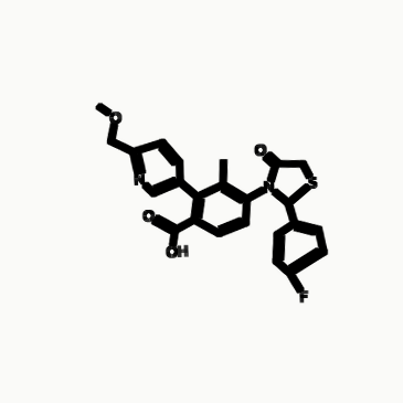 COCc1ccc(-c2c(C(=O)O)ccc(N3C(=O)CSC3c3ccc(F)cc3)c2C)cn1